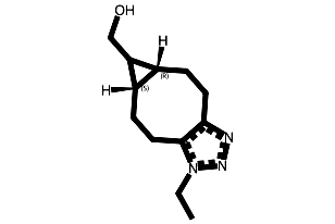 CCn1nnc2c1CC[C@@H]1C(CO)[C@@H]1CC2